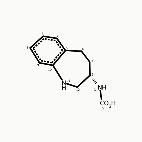 O=C(O)N[C@H]1CCc2ccccc2NC1